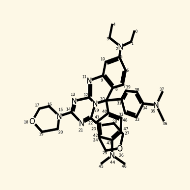 CCN(CC)c1ccc2c(c1)N=C1N=C(N3CCOCC3)N=C(N3CCOCC3)N1C2(c1ccc(N(C)C)cc1)c1ccc(N(C)C)cc1